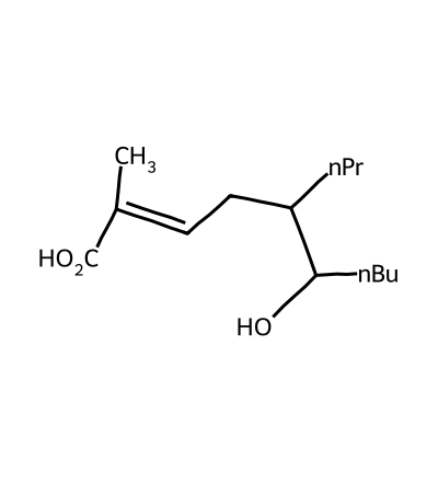 CCCCC(O)C(C/C=C(\C)C(=O)O)CCC